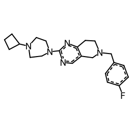 Fc1ccc(CN2CCc3nc(N4CCN(C5CCC5)CC4)ncc3C2)cc1